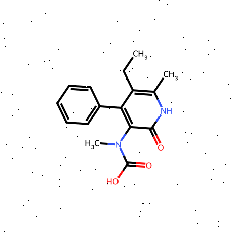 CCc1c(C)[nH]c(=O)c(N(C)C(=O)O)c1-c1ccccc1